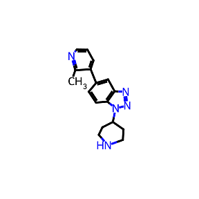 Cc1ncccc1-c1ccc2c(c1)nnn2C1CCNCC1